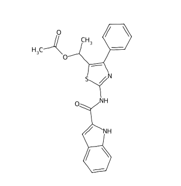 CC(=O)OC(C)c1sc(NC(=O)c2cc3ccccc3[nH]2)nc1-c1ccccc1